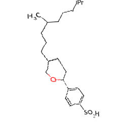 CC(C)CCCC(C)CCCC1CCC(c2ccc(S(=O)(=O)O)cc2)OC1